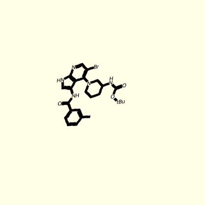 Cc1cccc(C(=O)Nc2c[nH]c3ncc(Br)c(N4CCCC(NC(=O)OC(C)(C)C)C4)c23)c1